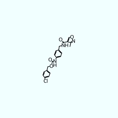 Cc1nocc1C(=O)NCc1ccc(NC(=O)OCc2ccc(Cl)cc2)cc1